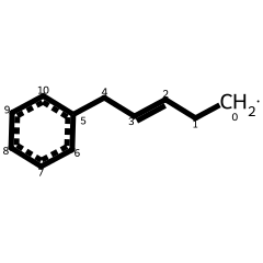 [CH2]C/C=C/Cc1ccccc1